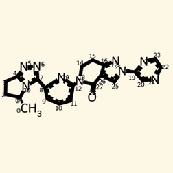 C[C@H]1CCc2nnc(-c3cccc(N4CCc5nn(-c6cnccn6)cc5C4=O)n3)n21